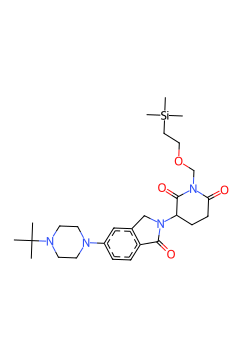 CC(C)(C)N1CCN(c2ccc3c(c2)CN(C2CCC(=O)N(COCC[Si](C)(C)C)C2=O)C3=O)CC1